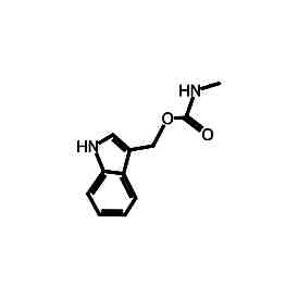 CNC(=O)OCc1c[nH]c2ccccc12